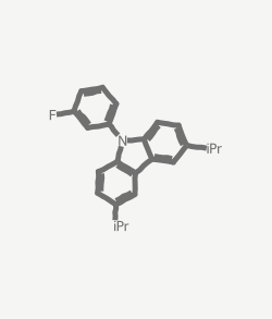 CC(C)c1ccc2c(c1)c1cc(C(C)C)ccc1n2-c1cccc(F)c1